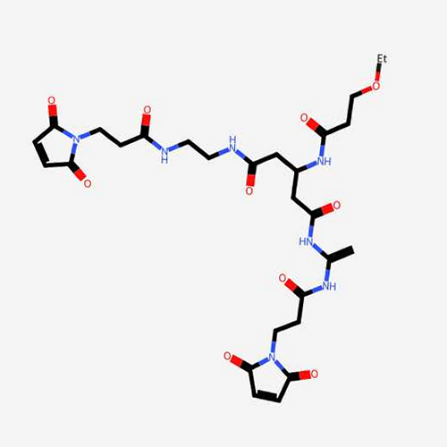 C=C(NC(=O)CCN1C(=O)C=CC1=O)NC(=O)CC(CC(=O)NCCNC(=O)CCN1C(=O)C=CC1=O)NC(=O)CCOCC